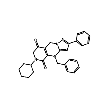 O=C1CN(C2CCCCC2)C(=O)C2=C1Cn1nc(-c3ccccc3)cc1N2Cc1ccccc1